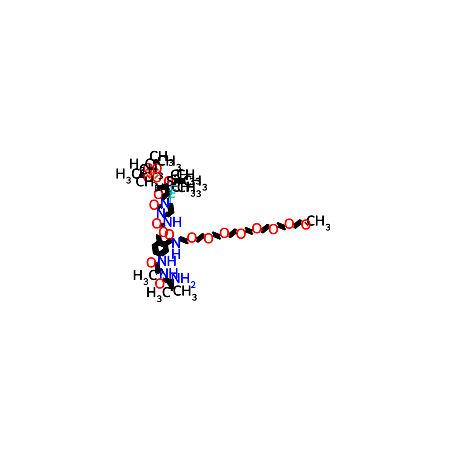 COCCOCCOCCOCCOCCOCCOCCOCCNC(=O)c1cc(NC(=O)[C@@H](C)NC(=O)[C@@H](N)C(C)C)ccc1COC(=O)Nc1ccn([C@@H]2O[C@H](COP(=O)(OC(C)(C)C)OC(C)(C)C)[C@@H](O[Si](C)(C)C(C)(C)C)C2(F)F)c(=O)n1